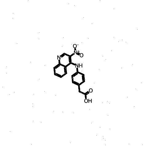 O=C(O)Cc1ccc(Nc2c([N+](=O)[O-])cnc3ccccc23)cc1